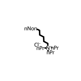 CCCCCCCCCCCCCC[N+](CCC)(CCC)CCC.[Cl-]